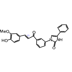 COc1cc(/C=C/C(=O)c2cccc(-n3cc(-c4ccccc4)[nH]c3=O)c2)ccc1O